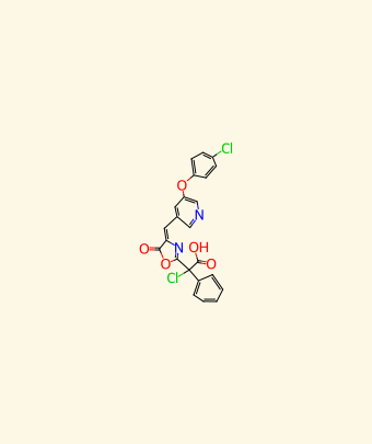 O=C1OC(C(Cl)(C(=O)O)c2ccccc2)=NC1=Cc1cncc(Oc2ccc(Cl)cc2)c1